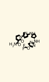 NC(=O)c1cccn(-c2ccc(N[C@H]3CC[C@H](Nc4ncc(OC(F)F)cn4)C3)nc2)c1=O